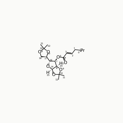 CC(C)C/C=C/C(=O)O[C@H]1[C@H]2OC(C)(C)O[C@H]2O[C@@H]1[C@H]1COC(C)(C)O1